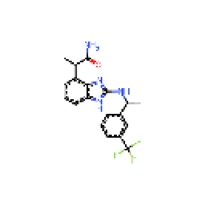 CC(Nc1nc2c(C(C)C(N)=O)cccc2[nH]1)c1cccc(C(F)(F)F)c1